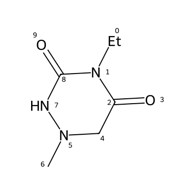 CCN1C(=O)CN(C)NC1=O